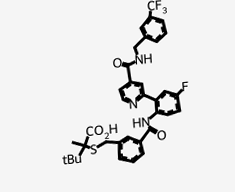 CC(C)(C)C(C)(SCc1cccc(C(=O)Nc2ccc(F)cc2-c2cc(C(=O)NCc3cccc(C(F)(F)F)c3)ccn2)c1)C(=O)O